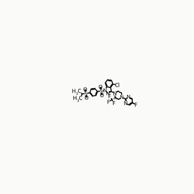 CC(C)S(=O)(=O)c1ccc(S(=O)(=O)n2nc(N3CCN(c4ncc(F)cn4)C[C@@H]3C(F)(F)F)c3c(Cl)cccc32)cc1